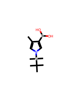 Cc1cn([Si](C)(C)C(C)(C)C)cc1B(O)O